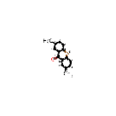 Cc1ccc2sc3ccc(C)cc3c(=O)c2c1